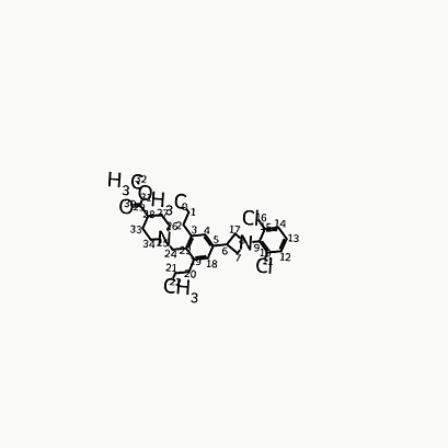 CCCc1cc(C2CN(c3c(Cl)cccc3Cl)C2)cc(CCC)c1CN1CCC(C(=O)OC)CC1